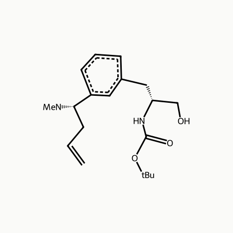 C=CC[C@H](NC)c1cccc(C[C@H](CO)NC(=O)OC(C)(C)C)c1